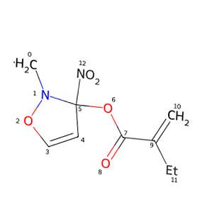 [CH2]N1OC=CC1(OC(=O)C(=C)CC)[N+](=O)[O-]